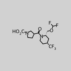 O=C(O)N1CCC(C(=O)N2CC[C@H](C(F)(F)F)C[C@H]2COC(F)F)C1